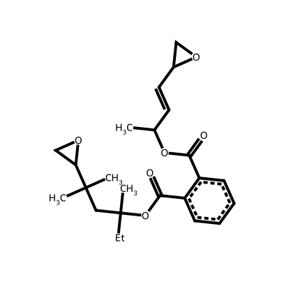 CCC(C)(CC(C)(C)C1CO1)OC(=O)c1ccccc1C(=O)OC(C)C=CC1CO1